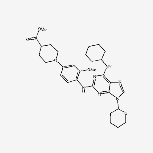 COC(=O)C1CCN(c2ccc(Nc3nc(NC4CCCCC4)c4ncn(C5CCCCO5)c4n3)c(OC)c2)CC1